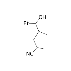 CCC(O)C(C)CC(C)C#N